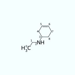 CCNC1CC=CCC1